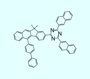 CC1(C)c2cc(-c3nc(-c4ccc5ccccc5c4)nc(-c4ccc5ccccc5c4)n3)ccc2-c2c1cc1ccccc1c2-c1ccc(-c2ccccc2)cc1